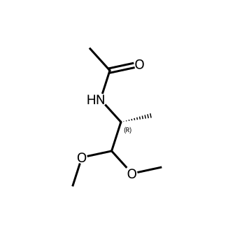 COC(OC)[C@@H](C)NC(C)=O